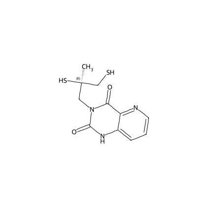 C[C@](S)(CS)Cn1c(=O)[nH]c2cccnc2c1=O